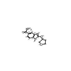 Cn1c(OC2CCOC2)nc2cc(C(N)=O)ccc21